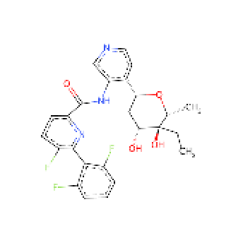 CC[C@]1(O)[C@H](O)C[C@H](c2ccncc2NC(=O)c2ccc(F)c(-c3c(F)cccc3F)n2)O[C@@H]1C